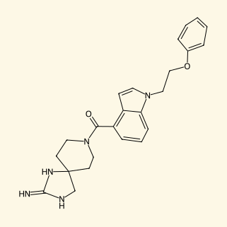 N=C1NCC2(CCN(C(=O)c3cccc4c3ccn4CCOc3ccccc3)CC2)N1